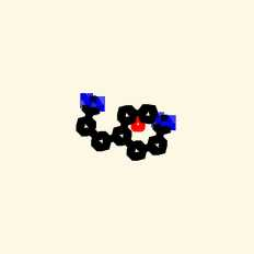 c1cc(-c2cncnc2)cc(-c2cccc(-c3cc(-c4cccc(-c5cccc(-c6cncnc6)c5)c4)cc(-c4cccc5c4oc4ccccc45)c3)c2)c1